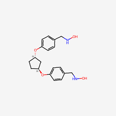 ONCc1ccc(O[C@H]2CC[C@H](Oc3ccc(CNO)cc3)C2)cc1